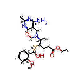 CCOC(=O)CC/C(SC(O)c1ccccc1OC)=C(\C)N(C=O)Cc1cnc(C)nc1N